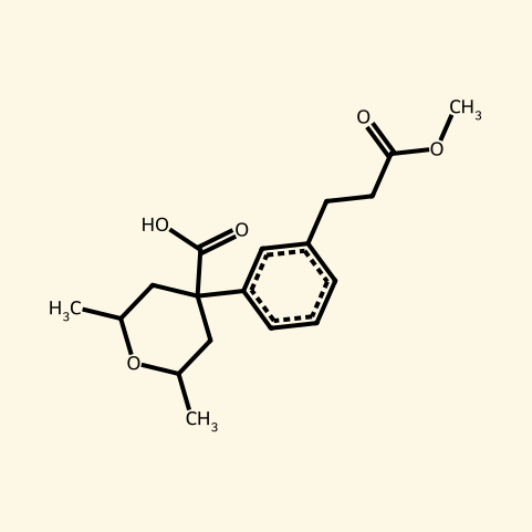 COC(=O)CCc1cccc(C2(C(=O)O)CC(C)OC(C)C2)c1